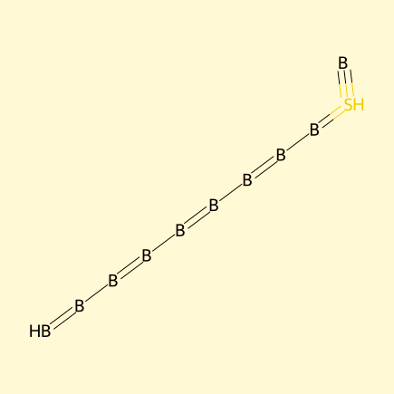 B#[SH]=B\B=B/B=B\B=B/B=B